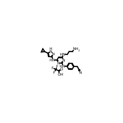 N#CCc1ccc(Nc2nc(NCCCN)cc(Nc3cc(C4CC4)[nH]n3)n2)cc1.O=C(O)C(F)(F)F